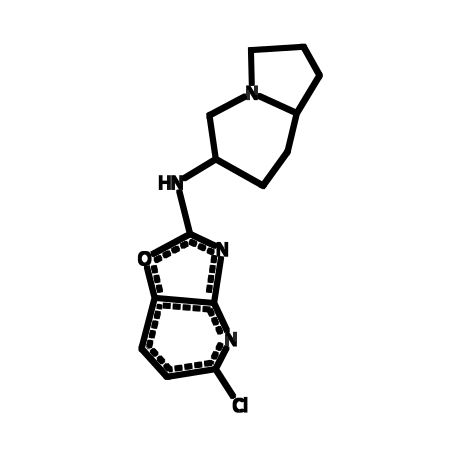 Clc1ccc2oc(NC3CCC4CCCN4C3)nc2n1